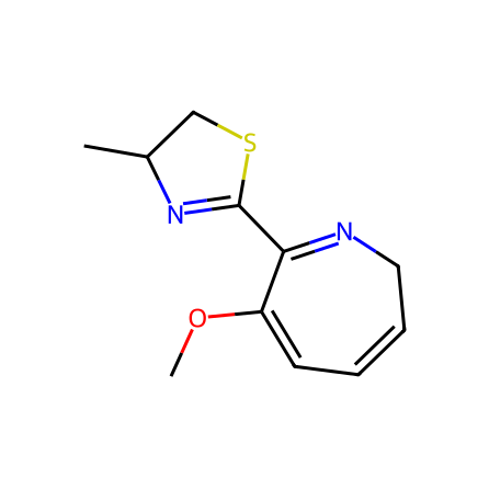 COC1=CC=CCN=C1C1=NC(C)CS1